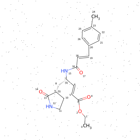 CCOC(=O)C=C[C@H](C[C@@H]1CCNC1=O)NC(=O)C=Cc1ccc(C)cc1